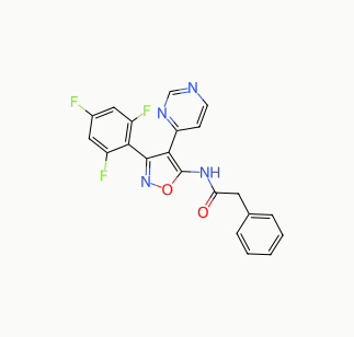 O=C(Cc1ccccc1)Nc1onc(-c2c(F)cc(F)cc2F)c1-c1ccncn1